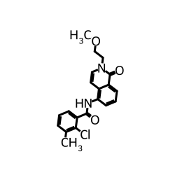 COCCn1ccc2c(NC(=O)c3cccc(C)c3Cl)cccc2c1=O